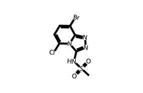 CS(=O)(=O)Nc1nnc2c(Br)ccc(Cl)n12